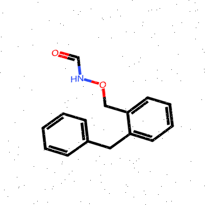 O=CNOCc1ccccc1Cc1ccccc1